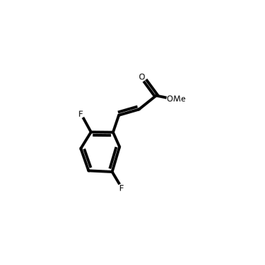 COC(=O)C=Cc1cc(F)ccc1F